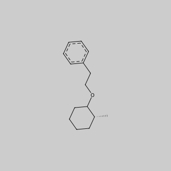 C[C@@H]1CCCCC1OCCc1ccccc1